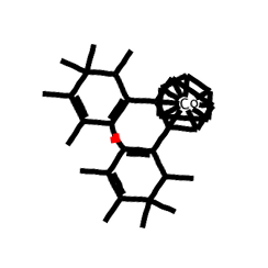 CC1=C(C)C(C)(C)C(C)C([C]23[CH]4[CH]5[CH]6[C]2(C2=C(C)C(C)=C(C)C(C)(C)C2C)[Co]54632789[CH]3[CH]2[CH]7[CH]8[CH]39)=C1C